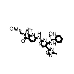 COCn1c(=O)c2ccc(Nc3ncc(-c4nc(C)no4)c(N[C@H](CO)c4ccccc4)n3)nc2n1C(C)C